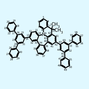 CC1(C)c2ccccc2N2c3ccc(-c4cc(-c5ccccc5)cc(-c5ccccc5)c4)cc3-c3ccccc3-c3cc(-c4cc(-c5ccccc5)cc(-c5ccccc5)c4)cc1c32